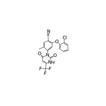 Cc1cc(C#N)c(Oc2ccccc2Cl)cc1-n1c(=O)cc(C(F)(F)F)[nH]c1=O